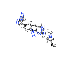 CC(=O)c1cc2n(c1)CCN(c1nccc(Nc3ccc(-c4cn[nH]c4)cc3)n1)C2